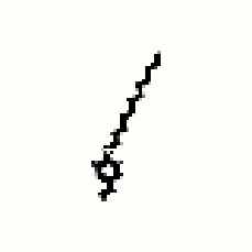 [CH2]CCCCCCCCCCCOc1ccc(C=C)cc1